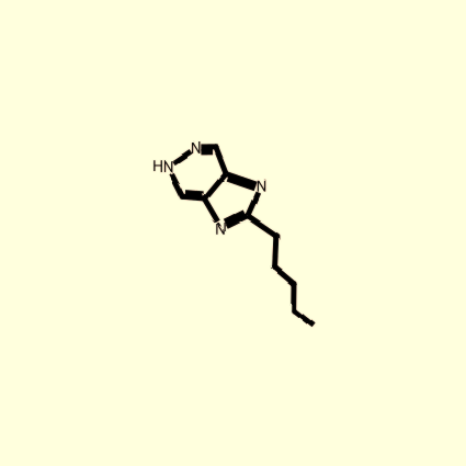 CCCCCc1nc2cn[nH]cc-2n1